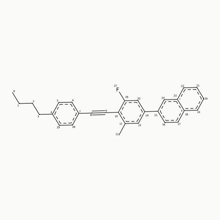 CCCCc1ccc(C#Cc2c(C)cc(-c3ccc4ccccc4c3)cc2F)cc1